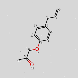 C=CCc1ccc(OCC(C)=O)cc1